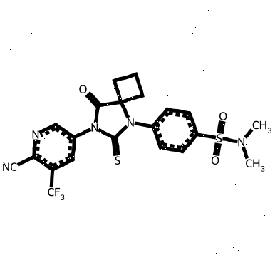 CN(C)S(=O)(=O)c1ccc(N2C(=S)N(c3cnc(C#N)c(C(F)(F)F)c3)C(=O)C23CCC3)cc1